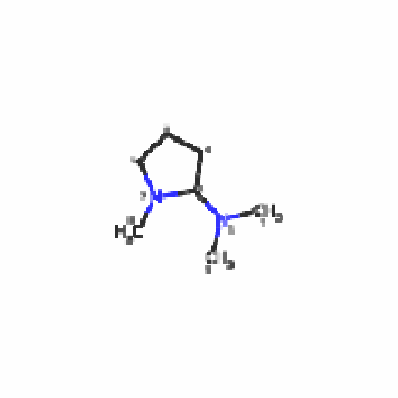 CN(C)C1CCCN1C